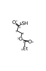 CCC(=O)OCCC(=O)S